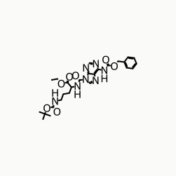 CCOC(=O)C(CCCNC(=O)OC(C)(C)C)NC(=O)n1cnc2c(NC(=O)OCc3ccccc3)ncnc21